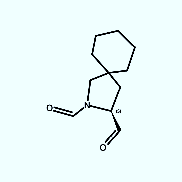 O=C[C@@H]1CC2(CCCCC2)CN1C=O